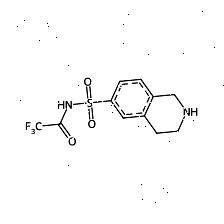 O=C(NS(=O)(=O)c1ccc2c(c1)CCNC2)C(F)(F)F